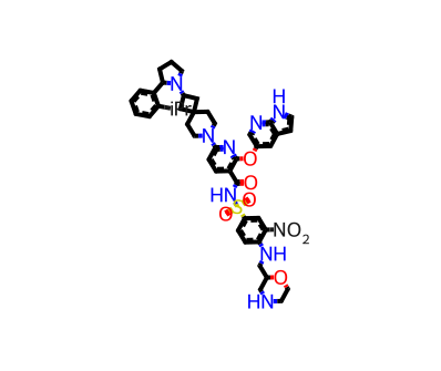 CC(C)c1ccccc1C1CCCN1C1CC2(CCN(c3ccc(C(=O)NS(=O)(=O)c4ccc(NCC5CNCCO5)c([N+](=O)[O-])c4)c(Oc4cnc5[nH]ccc5c4)n3)CC2)C1